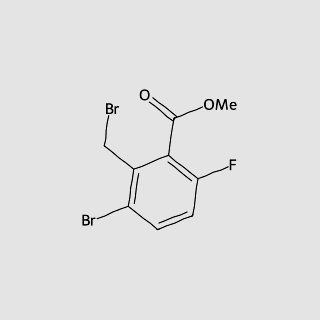 COC(=O)c1c(F)ccc(Br)c1CBr